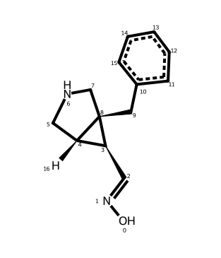 ON=C[C@H]1[C@@H]2CNC[C@]12Cc1ccccc1